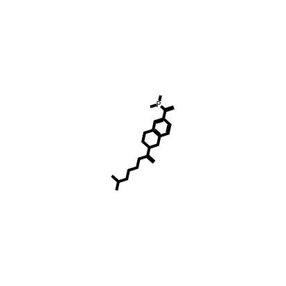 C=C(CCCCC(C)C)C1CCc2cc(C(=C)P(C)C)ccc2C1